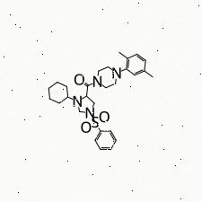 Cc1ccc(C)c(N2CCN(C(=O)C3CN(S(=O)(=O)c4ccccc4)CN3C3CCCCC3)CC2)c1